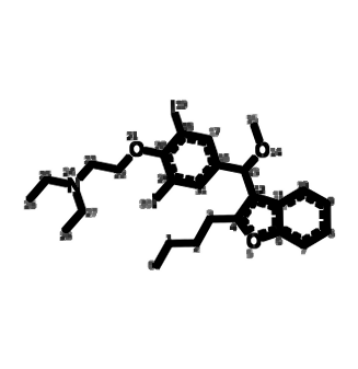 CCCCc1oc2ccccc2c1C(OC)c1cc(I)c(OCCN(CC)CC)c(I)c1